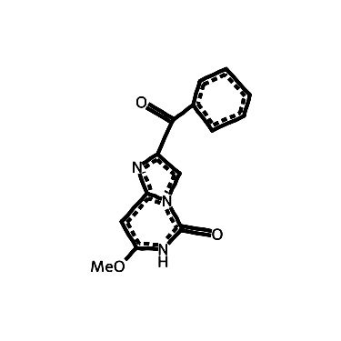 COc1cc2nc(C(=O)c3ccccc3)cn2c(=O)[nH]1